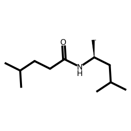 [CH2][C@@H](CC(C)C)NC(=O)CCC(C)C